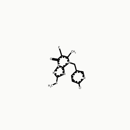 CSc1nc2n(Cc3ccc(Cl)nc3)c(C)c(F)c(=O)n2n1